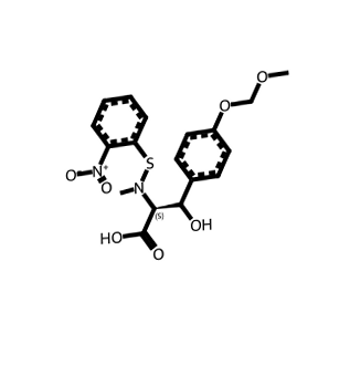 COCOc1ccc(C(O)[C@@H](C(=O)O)N(C)Sc2ccccc2[N+](=O)[O-])cc1